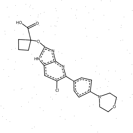 O=C(O)C1(Oc2nc3nc(-c4ccc(N5CCOCC5)cc4)c(Cl)cc3[nH]2)CCC1